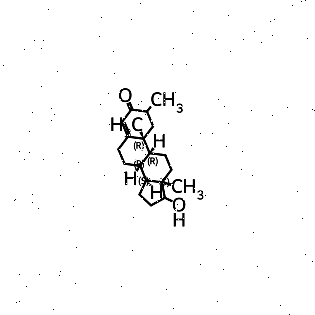 CC1C[C@@]2(C)C(=CC1=O)CC[C@@H]1[C@H]2CC[C@]2(C)C(O)CC[C@@H]12